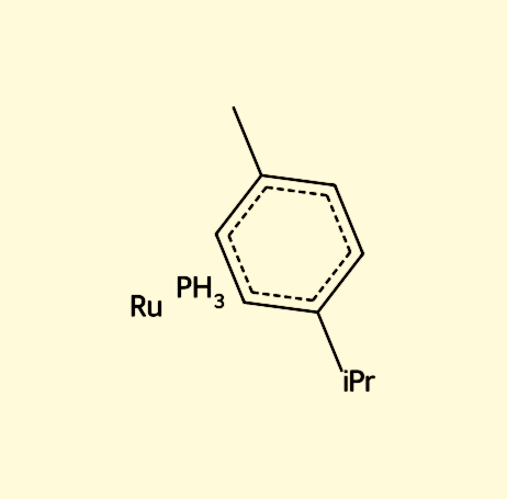 Cc1ccc(C(C)C)cc1.P.[Ru]